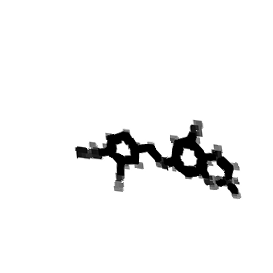 COc1ccc(/C=N/c2cc(Cl)c(/N=C\N(C)C)c(Cl)c2)cc1F